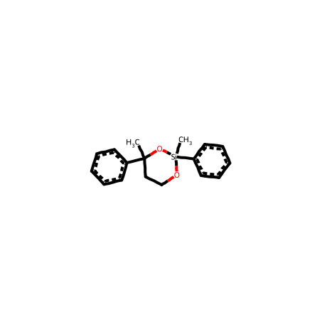 CC1(c2ccccc2)CCO[Si](C)(c2ccccc2)O1